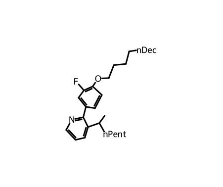 CCCCCCCCCCCCCCOc1ccc(-c2ncccc2C(C)CCCCC)cc1F